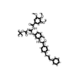 COc1cc(C(=O)NC(=NC(=O)OC(C)(C)C)Nc2ccc(C)c(NC(=O)c3ccc(CC=Cc4ccccc4)cc3)c2)cc(OC)c1OC